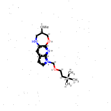 COC1CNc2cc3ccn(COCC[Si](C)(C)C)c3nc2OC1